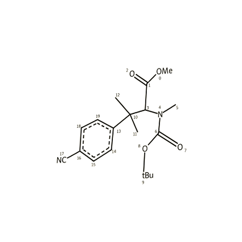 COC(=O)C(N(C)C(=O)OC(C)(C)C)C(C)(C)c1ccc(C#N)cc1